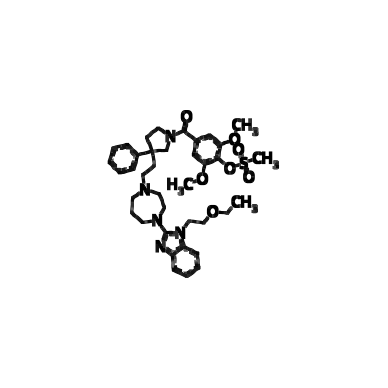 CCOCCn1c(N2CCCN(CCC3(c4ccccc4)CCN(C(=O)c4cc(OC)c(OS(C)(=O)=O)c(OC)c4)C3)CC2)nc2ccccc21